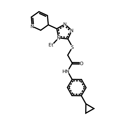 CCn1c(SCC(=O)Nc2ccc(C3CC3)cc2)nnc1C1C=CC=NC1